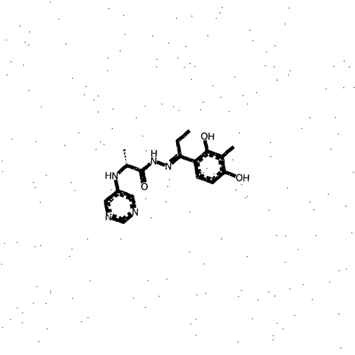 CC/C(=N\NC(=O)[C@@H](C)Nc1cncnc1)c1ccc(O)c(C)c1O